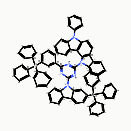 c1ccc(-n2c3ccccc3c3c2ccc2c4ccccc4n(-c4nc(-c5cccc([Si](c6ccccc6)(c6ccccc6)c6ccccc6)c5)nc(-n5c6ccccc6c6ccc([Si](c7ccccc7)(c7ccccc7)c7ccccc7)cc65)n4)c23)cc1